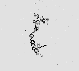 CCCCCNc1nc(N)nc2ccn(Cc3ccc(CN4CCN(CCn5cc(CNC(=O)[C@H](CC(=O)O)SC[C@H](N)C(=O)O)nn5)CC4)cc3C)c12